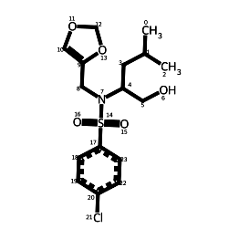 CC(C)CC(CO)N(CC1=COCO1)S(=O)(=O)c1ccc(Cl)cc1